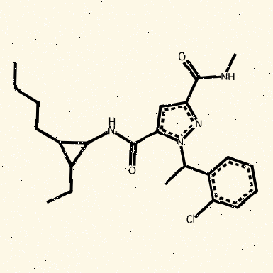 CCCCC1C(CC)C1NC(=O)c1cc(C(=O)NC)nn1C(C)c1ccccc1Cl